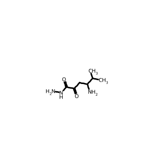 CC(C)C(N)CC(=O)C(=O)NN